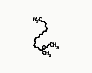 C=C(CC/C=C\C/C=C\CCCC/C=C\C/C=C\CC)OCCC